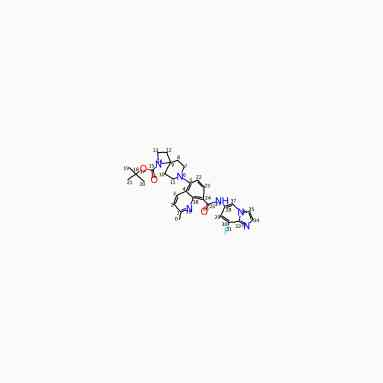 Cc1ccc2c(N3CCC4(CC3)CCN4C(=O)OC(C)(C)C)ccc(C(=O)Nc3cc(F)c4nccn4c3)c2n1